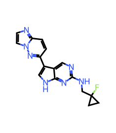 FC1(CNc2ncc3c(-c4ccc5nccn5n4)c[nH]c3n2)CC1